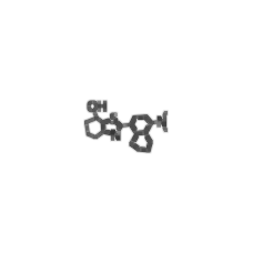 CN(C)c1ccc(-c2nc3c(s2)C(O)CCC3)c2ccccc12